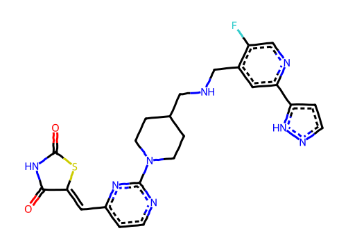 O=C1NC(=O)C(=Cc2ccnc(N3CCC(CNCc4cc(-c5ccn[nH]5)ncc4F)CC3)n2)S1